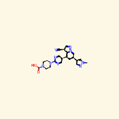 Cn1cc(-c2cc(-c3cnc(N4CCN(C(=O)O)CC4)nc3)c3c(C#N)cnn3c2)cn1